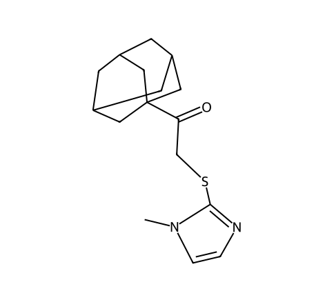 Cn1ccnc1SCC(=O)C12CC3CC(CC(C3)C1)C2